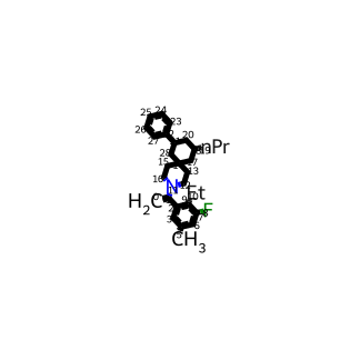 C=C(c1cc(C)cc(F)c1CC)N1CCC2(CC1)CC(CCC)CC(c1ccccc1)C2